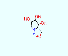 OC[C@@H]1NC[C@H](O)[C@@H](O)C1O